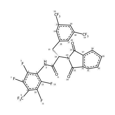 O=C(Nc1c(F)c(F)c(C(F)(F)F)c(F)c1F)[C@H](Cc1cc(C(F)(F)F)cc(C(F)(F)F)c1)N1C(=O)c2ccccc2C1=O